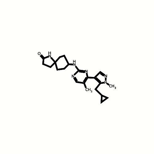 Cc1cnc(NC2CCC3(CCC(=O)N3)CC2)nc1-c1cnn(C)c1CC1CC1